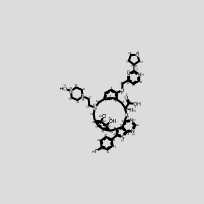 O=C(O)[C@H]1Cc2cc(ccc2OCc2ccnc([C@H]3CCOC3)n2)CN(CCN2CCN(O)CC2)Cc2ccc(c(O)c2Cl)-c2c(-c3ccc(F)cc3)sc3ncnc(c23)O1